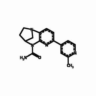 Cc1cc(-c2ccc3c(n2)N(C(N)=O)C2CCN3C2)ccn1